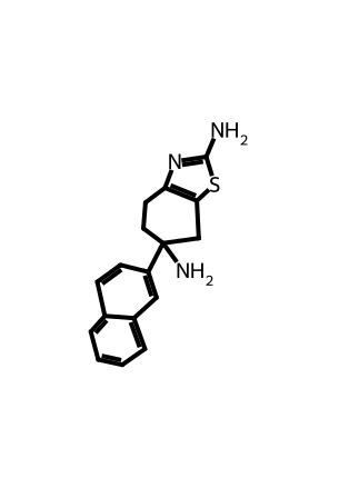 Nc1nc2c(s1)CC(N)(c1ccc3ccccc3c1)CC2